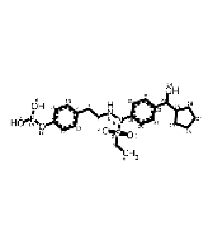 CCS(=O)(=O)N(NCCc1ccc(OP(O)O)cc1)c1ccc(C(O)C2CCCC2)cc1